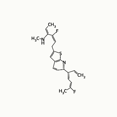 C=C/C(=C\C=C(/C)F)c1ccc2cc(C/C=C(F)\C(=C/C)NC)sc2n1